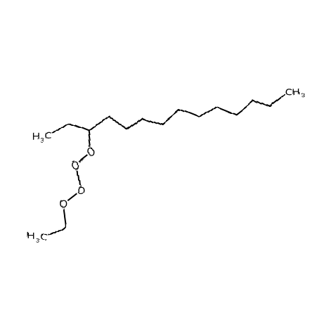 CCCCCCCCCCCC(CC)OOOOCC